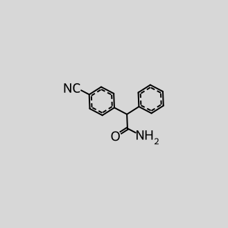 N#Cc1ccc(C(C(N)=O)c2ccccc2)cc1